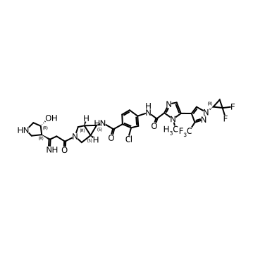 Cn1c(-c2cn([C@@H]3CC3(F)F)nc2C(F)(F)F)cnc1C(=O)Nc1ccc(C(=O)N[C@H]2[C@@H]3CN(C(=O)CC(=N)[C@H]4CNC[C@@H]4O)C[C@@H]32)c(Cl)c1